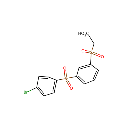 O=C(O)CS(=O)(=O)c1cccc(S(=O)(=O)c2ccc(Br)cc2)c1